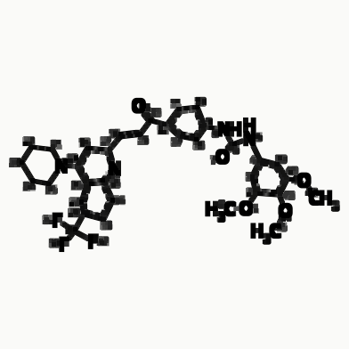 COc1cc(NC(=O)Nc2ccc(C(=O)C=Cc3cc(N4CCCCC4)c4cc(C(F)(F)F)ccc4n3)cc2)cc(OC)c1OC